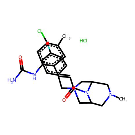 Cc1cc(C=CC(=O)N2C3CN(C)CC2CN(Cc2ccc(F)cc2)C3)c(NC(N)=O)cc1Cl.Cl